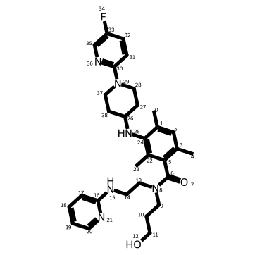 Cc1cc(C)c(C(=O)N(CCCO)CCNc2ccccn2)c(C)c1NC1CCN(c2ccc(F)cn2)CC1